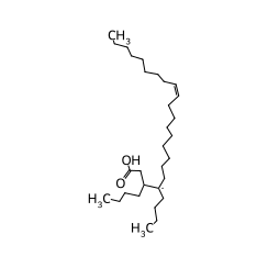 CCCCCCCC/C=C\CCCCCCCC[C](CCCC)C(CCCC)CC(=O)O